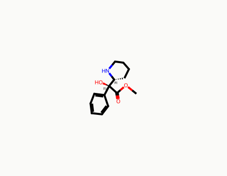 COC(=O)[C@](O)(c1ccccc1)[C@H]1CCCCN1